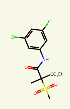 CCOC(=O)C(C)(C(=O)Nc1cc(Cl)cc(Cl)c1)S(C)(=O)=O